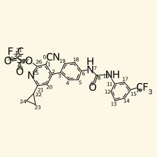 N#Cc1c(-c2ccc(NC(=O)Nc3cccc(C(F)(F)F)c3)cc2)cc(C2CC2)nc1OS(=O)(=O)C(F)(F)F